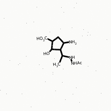 CC(=O)NNC(C)C1C(N)CC(C(=O)O)C1O